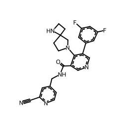 N#Cc1cc(CNC(=O)c2cncc(-c3cc(F)cc(F)c3)c2N2CCC3(CCN3)C2)ccn1